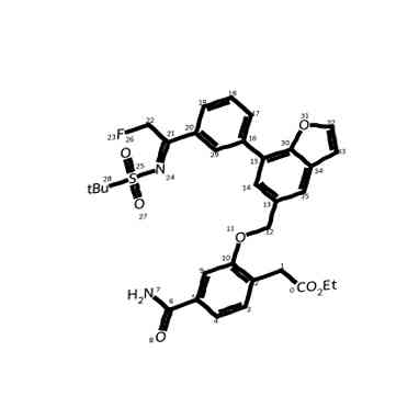 CCOC(=O)Cc1ccc(C(N)=O)cc1OCc1cc(-c2cccc(C(CF)=NS(=O)(=O)C(C)(C)C)c2)c2occc2c1